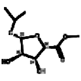 COC(=O)[C@H]1O[C@@H](OC(C)C)[C@H](O)[C@@H]1O